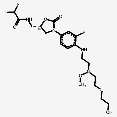 CON(CCNc1ccc(N2C[C@H](CNC(=O)C(F)F)OC2=O)cc1F)CCOCCO